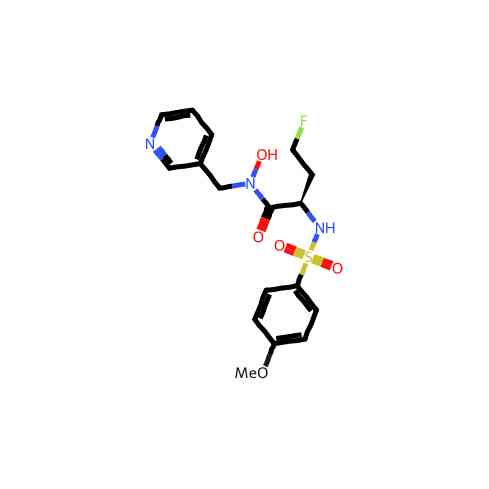 COc1ccc(S(=O)(=O)N[C@H](CCF)C(=O)N(O)Cc2cccnc2)cc1